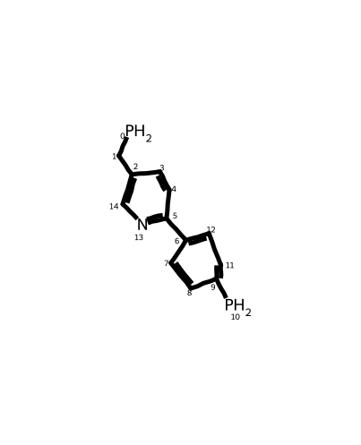 PCc1ccc(-c2ccc(P)cc2)nc1